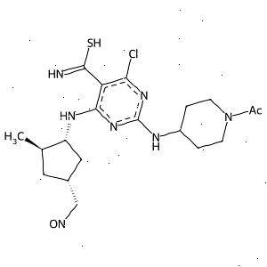 CC(=O)N1CCC(Nc2nc(Cl)c(C(=N)S)c(N[C@@H]3C[C@H](CN=O)C[C@H]3C)n2)CC1